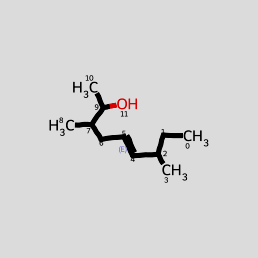 CCC(C)/C=C/CC(C)C(C)O